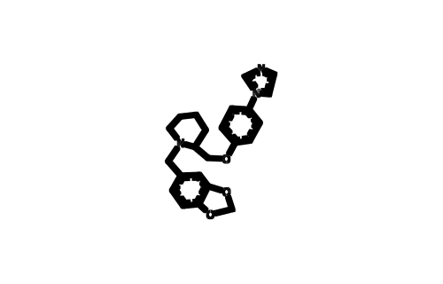 c1cn(-c2ccc(OCC3CCCCN3Cc3ccc4c(c3)OCO4)cc2)cn1